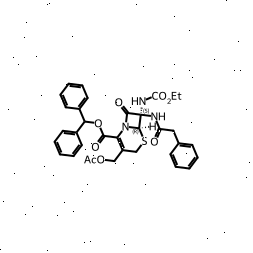 CCOC(=O)N[C@@]1(NC(=O)Cc2ccccc2)C(=O)N2C(C(=O)OC(c3ccccc3)c3ccccc3)=C(COC(C)=O)CS[C@@H]21